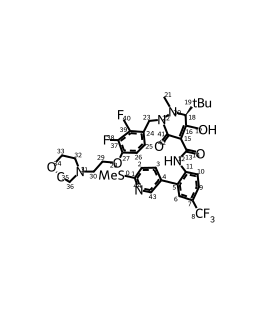 CSc1ccc(-c2cc(C(F)(F)F)ccc2NC(=O)C2=C(O)[C@H](C(C)(C)C)N(C)N(Cc3ccc(OCCN4CCOCC4)c(F)c3F)C2=O)cn1